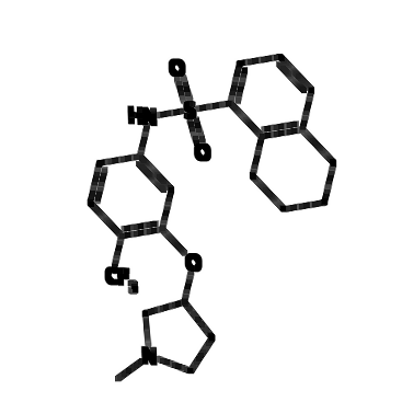 CN1CCC(Oc2cc(NS(=O)(=O)c3cccc4c3CCCC4)ccc2C(F)(F)F)C1